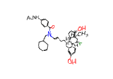 CC(=O)Nc1ccc(C(=O)N(CCCC[C@@H]2Cc3cc(O)ccc3[C@@H]3[C@@H]2[C@@H]2CC[C@H](O)[C@@]2(C)C[C@@H]3F)CC2CCCCC2)cc1